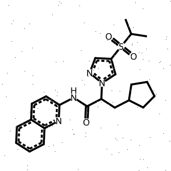 CC(C)S(=O)(=O)c1cnn(C(CC2CCCC2)C(=O)Nc2ccc3ccccc3n2)c1